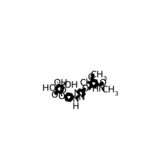 CNC(=O)c1cc(COc2cnc(Nc3ccc(O[C@@H]4O[C@H](CO)[C@@H](O)[C@H](O)C4=O)cc3)nc2)c(Cl)c(OC)c1